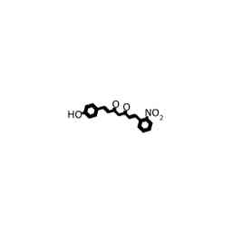 O=C(C=Cc1ccc(O)cc1)CC(=O)C=Cc1ccccc1[N+](=O)[O-]